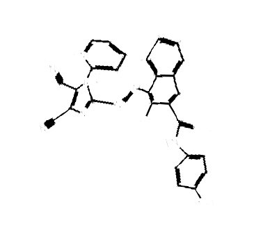 N#Cc1nc(/N=N/c2c(O)c(C(=O)Nc3ccc(S)cc3)cc3ccccc23)n(-c2ccccn2)c1C#N